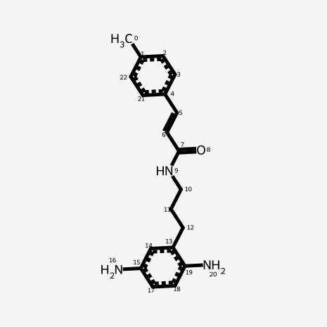 Cc1ccc(/C=C/C(=O)NCCCc2cc(N)ccc2N)cc1